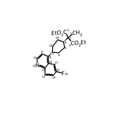 CCOC(=O)C(C)(C(=O)OCC)[C@H]1CC[C@@H](c2ccnc3ccc(F)cc32)CC1